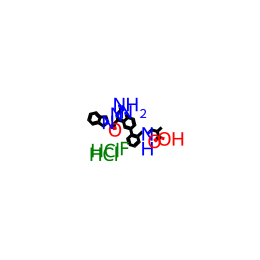 CC(CNCc1ccc(F)cc1-c1ccc2nc(N)nc(C(=O)N3Cc4ccccc4C3)c2c1)C(=O)O.Cl.Cl